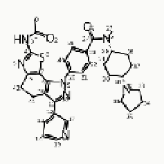 CC(=O)Nc1nc2c(s1)-c1c(c(-c3cccnc3)nn1-c1ccc(C(=O)N(C)[C@H]3CC[C@@H](N4CCCC4)CC3)cc1)CC2